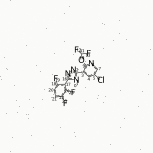 Cn1c(-c2cc(Cl)cnc2OC(F)F)nnc1-c1c(F)ccc(F)c1F